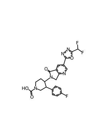 O=C(O)N1CCC(N2Cc3ncc(-c4nnc(C(F)F)o4)cc3C2=O)C(c2ccc(F)cc2)C1